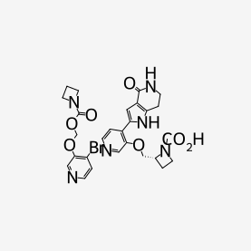 O=C(OCOc1cnccc1Br)N1CCC1.O=C1NCCc2[nH]c(-c3ccncc3OC[C@H]3CCN3C(=O)O)cc21